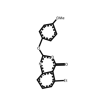 CCc1cccc2nc(Oc3ccc(OC)cc3)oc(=O)c12